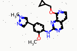 COc1cc(-c2cnn(C)c2)ccc1Nc1ncc2ccnc(OCC3CC3)c2n1